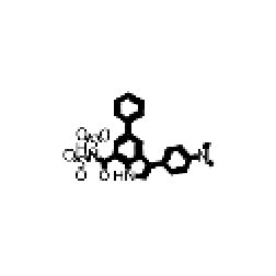 CN(C)c1ccc(-c2c[nH]c3c(C(=O)N([SH](=O)=O)[SH](=O)=O)cc(-c4ccccc4)cc23)cc1